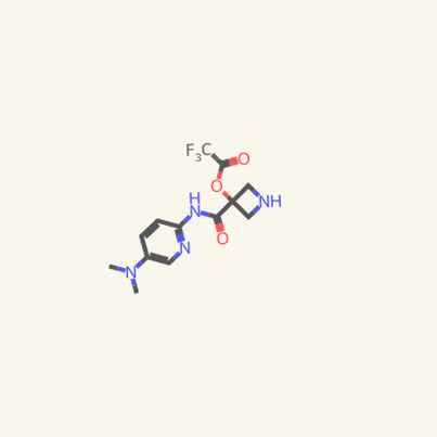 CN(C)c1ccc(NC(=O)C2(OC(=O)C(F)(F)F)CNC2)nc1